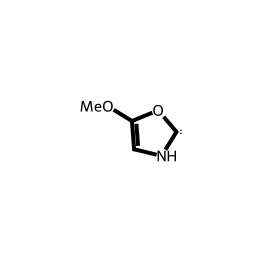 COC1=CN[C]O1